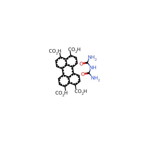 NC(=O)NC(N)=O.O=C(O)c1ccc2c3ccc(C(=O)O)c4c(C(=O)O)ccc(c5ccc(C(=O)O)c1c25)c43